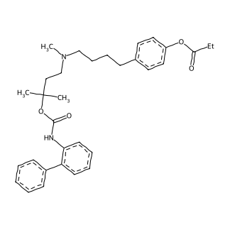 CCC(=O)Oc1ccc(CCCCN(C)CCC(C)(C)OC(=O)Nc2ccccc2-c2ccccc2)cc1